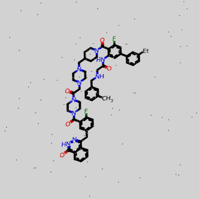 CCc1cccc(-c2cc(F)c(C(=O)N3CCC(CN4CCN(CC(=O)N5CCN(C(=O)c6cc(Cc7n[nH]c(=O)c8ccccc78)ccc6F)CC5)CC4)CC3)c(NC(=O)CNCc3cccc(C)c3)c2)c1